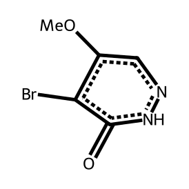 COc1cn[nH]c(=O)c1Br